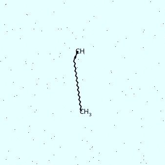 C#CC#CCCCCCCCCCCCCCCCCCCCCCC